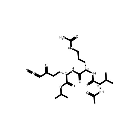 CC(=O)N[C@H](C(=O)N[C@@H](CCCNC(N)=O)C(=O)N[C@@H](CCC(=O)C=[N+]=[N-])C(=O)OC(C)C)C(C)C